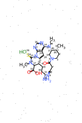 C[C@@H]1CCN(C(=O)CC#N)C[C@@H]1N(C)c1ncnc2c1ccn2C(=S)N(C)C(CCCCN)C(=O)O.Cl